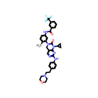 Cc1ccc(NC(=O)c2cccc(C(F)(F)F)c2)cc1N1Cc2cnc(Nc3ccc(CCN4CCOCC4)cc3)nc2N(C2CC2)C1=O